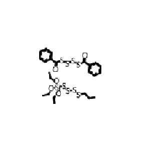 CCCSSSS[Si](OCC)(OCC)OCC.O=C(SSSSC(=O)c1ccccc1)c1ccccc1